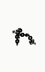 COC(=O)[C@H]1CC[C@H](CN2CC(c3ccc(-n4c(-c5cccnc5N)nc5ccc(-c6ccc(F)cc6)nc54)cc3)C2)CC1